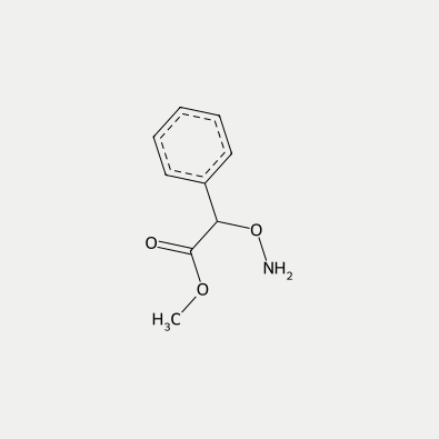 COC(=O)C(ON)c1ccccc1